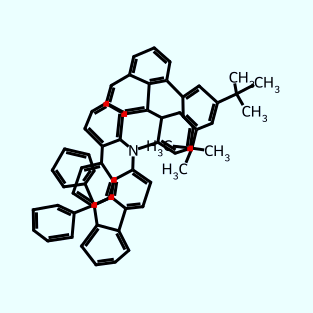 CC(C)(C)c1cc(-c2cccc3cccc(C4CC=CC=C4N(c4ccc5c(c4)C(c4ccccc4)(c4ccccc4)c4ccccc4-5)c4ccccc4-c4ccccc4)c23)cc(C(C)(C)C)c1